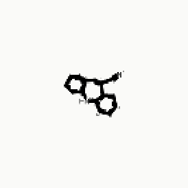 N#CC1=Cc2ccccc2Nc2ccccc21